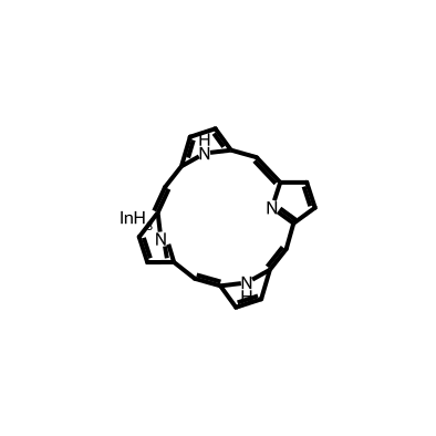 C1=Cc2cc3ccc(cc4nc(cc5ccc(cc1n2)[nH]5)C=C4)[nH]3.[InH3]